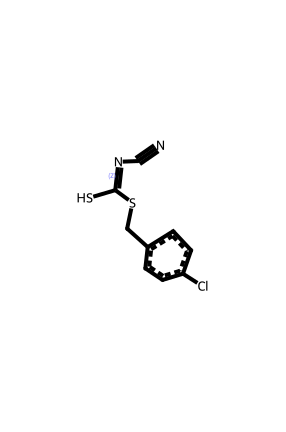 N#C/N=C(/S)SCc1ccc(Cl)cc1